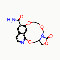 NC(=O)c1cc2ccnc3c2cc1OCCOCN1C(=O)OCC1CO3